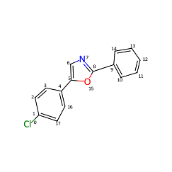 Clc1ccc(-c2cnc(-c3ccccc3)o2)cc1